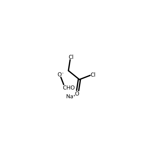 O=C(Cl)CCl.O=C[O-].[Na+]